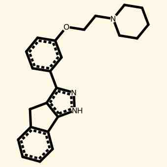 c1cc(OCCN2CCCCC2)cc(-c2n[nH]c3c2Cc2ccccc2-3)c1